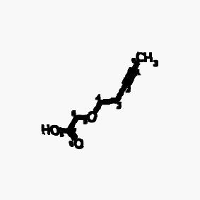 CC#CCCOCC(=O)O